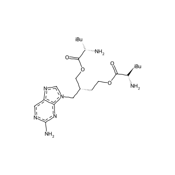 CC[C@H](C)[C@H](N)C(=O)OCC[C@@H](COC(=O)[C@@H](N)[C@@H](C)CC)Cn1cnc2cnc(N)nc21